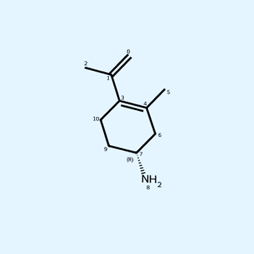 C=C(C)C1=C(C)C[C@H](N)CC1